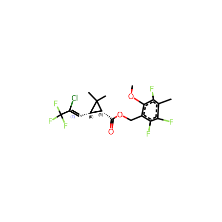 COc1c(F)c(C)c(F)c(F)c1COC(=O)[C@@H]1[C@H](/C=C(\Cl)C(F)(F)F)C1(C)C